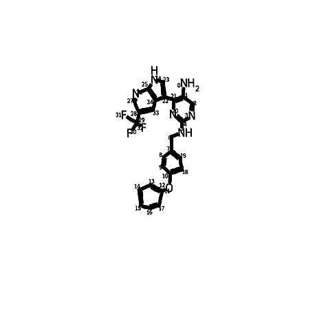 Nc1cnc(NCc2ccc(Oc3ccccc3)cc2)nc1-c1c[nH]c2ncc(C(F)(F)F)cc12